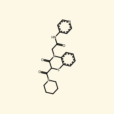 O=C(CN1C(=O)C(C(=O)N2CCCCC2)Sc2ccccc21)Nc1ccncc1